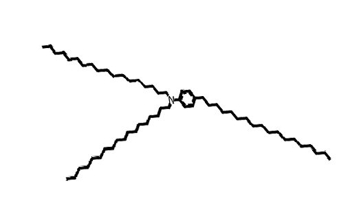 CCCCCCCCCCCCCCCCCCc1ccc(N(CCCCCCCCCCCCCCCCCC)CCCCCCCCCCCCCCCCCC)cc1